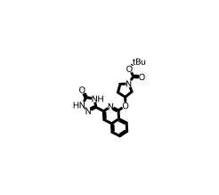 CC(C)(C)OC(=O)N1CCC(Oc2nc(-c3n[nH]c(=O)[nH]3)cc3ccccc23)C1